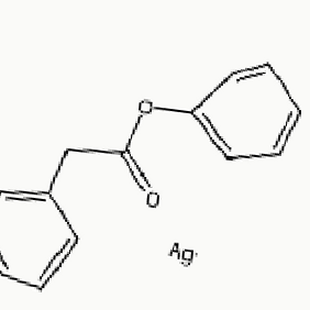 O=C(Cc1ccccc1)Oc1ccccc1.[Ag]